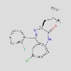 CC(C[C@@H]1N=C(c2ccccc2F)c2cc(Cl)ccc2NC1=O)C(=O)O